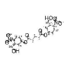 O=C(CCCC(=O)Oc1ccc([N+](=O)[O-])c(CO)c1)Oc1ccc([N+](=O)[O-])c(CO)c1